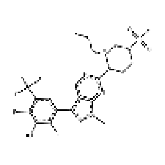 COC[C@@H]1CN(S(C)(=O)=O)CCN1c1ncc2c(-c3cc(C(F)(F)F)c(F)c(O)c3F)nn(C)c2n1